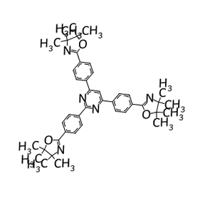 CC1(C)N=C(c2ccc(-c3cc(-c4ccc(C5=NC(C)(C)C(C)(C)O5)cc4)nc(-c4ccc(C5=NC(C)(C)C(C)(C)O5)cc4)n3)cc2)OC1(C)C